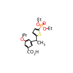 CCOP(=O)(OCC)c1ccc(C(C)c2cc(OC(C)C)cc(C(=O)O)c2)s1